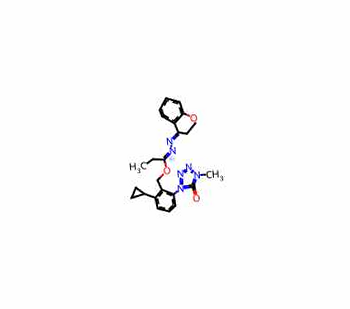 CC/C(=N\N=C1CCOc2ccccc21)OCc1c(C2CC2)cccc1-n1nnn(C)c1=O